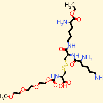 CCOC(=O)[C@@H](N)CCCCNC(=O)[C@H](CSSC[C@H](NC(=O)OCCOCCOCCOC)C(=O)O)NC(=O)[C@@H](N)CCCCN